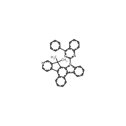 CC1(C)c2cnccc2-c2c1c1c(c3ccccc23)c2ccccc2n1-c1nc(-c2ccccc2)c2ccccc2n1